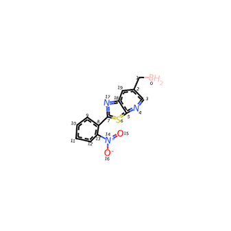 BCc1cnc2sc(-c3ccccc3[N+](=O)[O-])nc2c1